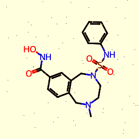 CN1CCN(S(=O)(=O)Nc2ccccc2)Cc2cc(C(=O)NO)ccc2C1